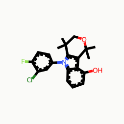 CC1(C)COC(C)(C)c2c1n(-c1ccc(F)c(Cl)c1)c1cccc(O)c21